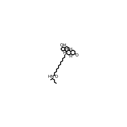 CCCC(C)NC(=O)CCCCCCCCCCC[C@@H]1C[C@H]2CC(=O)CC[C@]2(C)[C@H]2CC[C@]3(C)[C@@H](O)CC[C@H]3[C@H]12